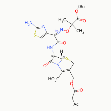 CC(=O)CC(=O)OCC1=C(C(=O)O)N2C(=O)[C@H](NC(=O)/C(=N\OC(C)(C)C(=O)OC(C)(C)C)c3csc(N)n3)[C@@H]2SC1